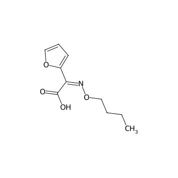 CCCCON=C(C(=O)O)c1ccco1